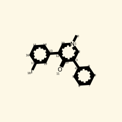 Cn1cc(-c2ccccc2)c(=O)c(-c2cccc(I)c2)c1